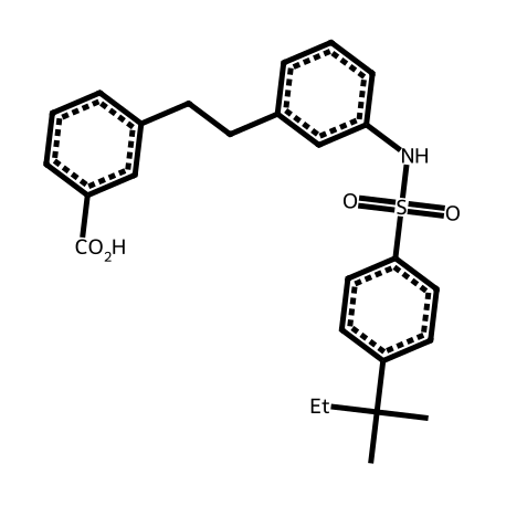 CCC(C)(C)c1ccc(S(=O)(=O)Nc2cccc(CCc3cccc(C(=O)O)c3)c2)cc1